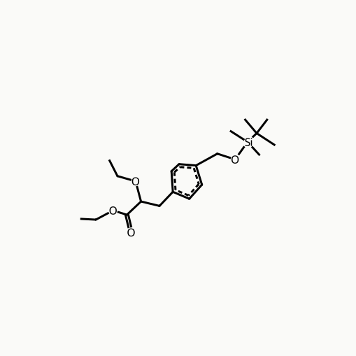 CCOC(=O)C(Cc1ccc(CO[Si](C)(C)C(C)(C)C)cc1)OCC